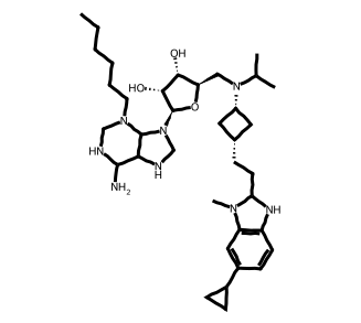 CCCCCCN1CNC(N)C2NCN([C@@H]3O[C@H](CN(C(C)C)[C@H]4C[C@@H](CCC5Nc6ccc(C7CC7)cc6N5C)C4)[C@@H](O)[C@H]3O)C21